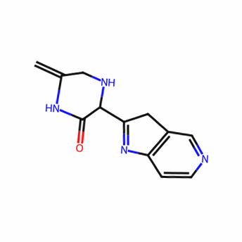 C=C1CNC(C2=Nc3ccncc3C2)C(=O)N1